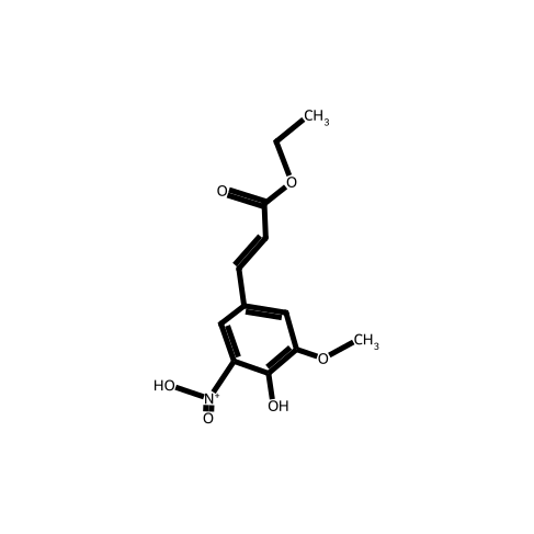 CCOC(=O)/C=C/c1cc(OC)c(O)c([N+](=O)O)c1